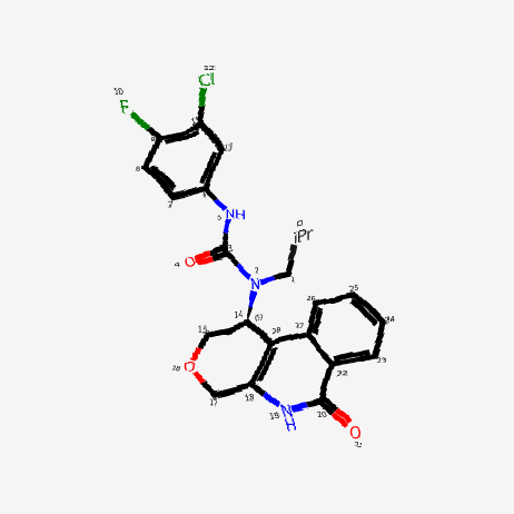 CC(C)CN(C(=O)Nc1ccc(F)c(Cl)c1)[C@@H]1COCc2[nH]c(=O)c3ccccc3c21